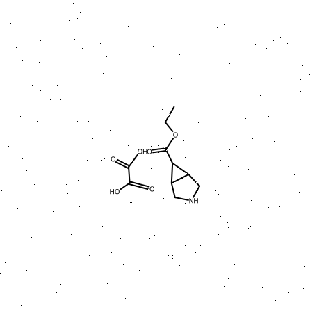 CCOC(=O)C1C2CNCC21.O=C(O)C(=O)O